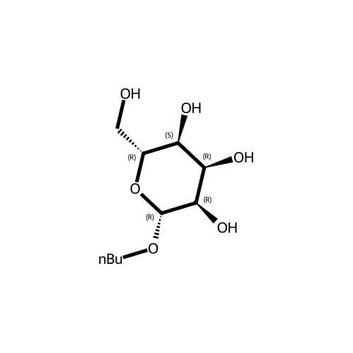 CCCCO[C@@H]1O[C@H](CO)[C@@H](O)[C@@H](O)[C@H]1O